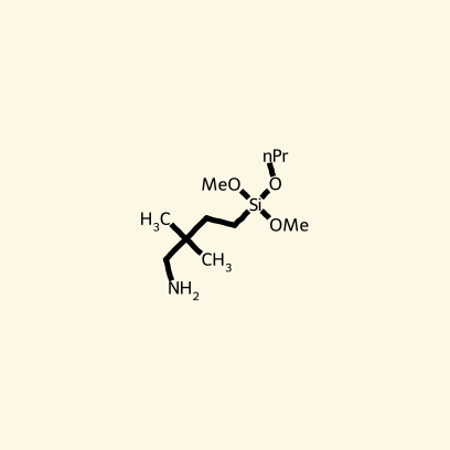 CCCO[Si](CCC(C)(C)CN)(OC)OC